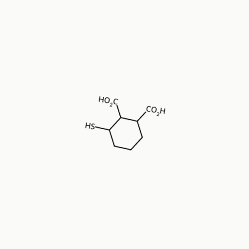 O=C(O)C1CCCC(S)C1C(=O)O